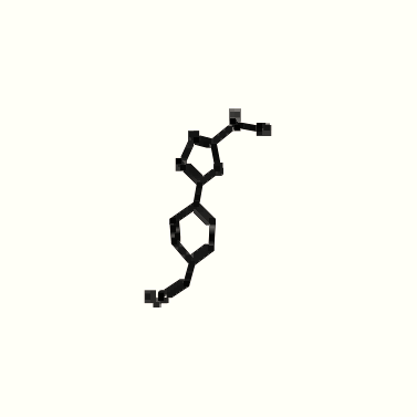 C=Cc1ccc(-c2nnc(NCC)s2)cc1